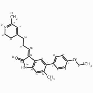 CCOc1ccc(-c2cc3c(cc2C)NC(=O)/C3=C\CCC2=CC(C)=NCC2)cc1